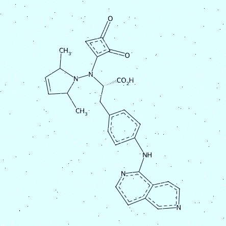 CC1C=CC(C)N1N(c1cc(=O)c1=O)[C@@H](Cc1ccc(Nc2nccc3cnccc23)cc1)C(=O)O